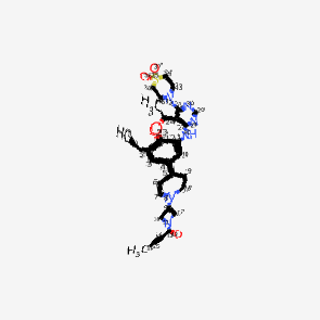 C#Cc1cc(C2CCN(C3CN(C(=O)C#CC)C3)CC2)cc2c1O[C@@H](C)c1c(ncnc1N1CCS(=O)(=O)CC1)N2